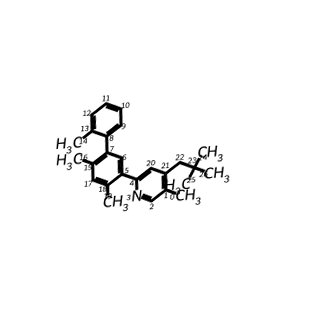 Cc1cnc(-c2cc(-c3ccccc3C)c(C)cc2C)cc1CC(C)(C)C